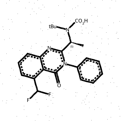 C[C@@H](c1nc2cccc(C(F)F)c2c(=O)n1-c1ccccc1)N(C(=O)O)C(C)(C)C